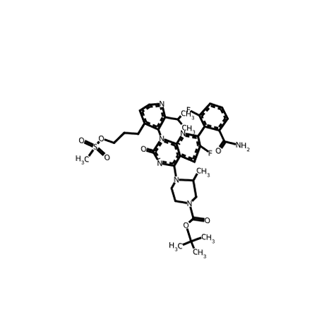 CC(C)c1nccc(CCCOS(C)(=O)=O)c1-n1c(=O)nc(N2CCN(C(=O)OC(C)(C)C)CC2C)c2cc(F)c(-c3c(F)cccc3C(N)=O)nc21